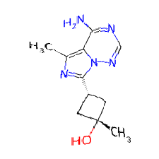 Cc1nc([C@H]2C[C@@](C)(O)C2)n2ncnc(N)c12